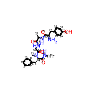 CCCNC(=O)[C@H](Cc1ccccc1)N(C)C(=O)CNC(=O)[C@@H](C)NC(=O)[C@@H](N)Cc1ccc(O)cc1